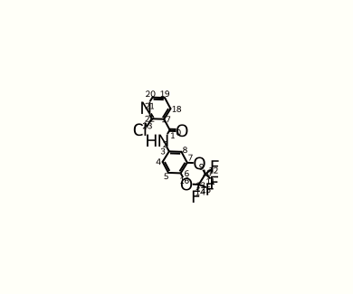 O=C(Nc1ccc2c(c1)OC(F)(F)C(F)(F)O2)c1cccnc1Cl